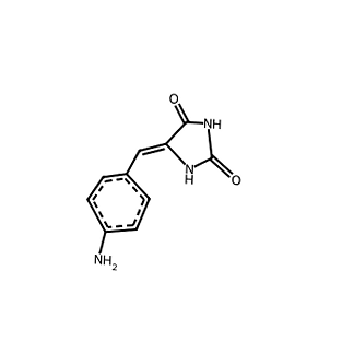 Nc1ccc(/C=C2\NC(=O)NC2=O)cc1